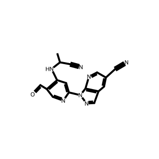 CC(C#N)Nc1cc(-n2ncc3cc(C#N)cnc32)ncc1C=O